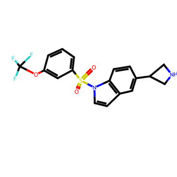 O=S(=O)(c1cccc(OC(F)(F)F)c1)n1ccc2cc(C3CNC3)ccc21